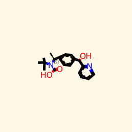 C[C@@H](c1ccc(C(O)c2ccccn2)cc1)N(C(=O)O)C(C)(C)C